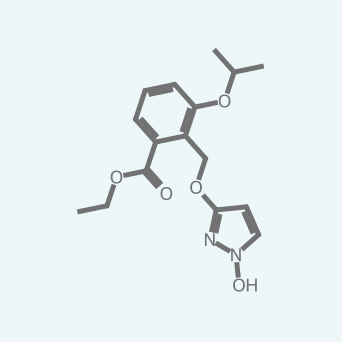 CCOC(=O)c1cccc(OC(C)C)c1COc1ccn(O)n1